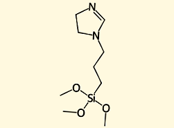 CO[Si](CCCN1C=NCC1)(OC)OC